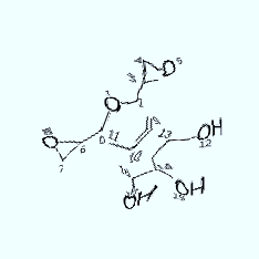 C(OCC1CO1)C1CO1.C=CC.OCC(O)CO